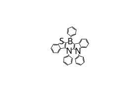 c1ccc(B2c3sc4ccccc4c3N(c3ccccc3)c3c2c2ccccc2n3-c2ccccc2)cc1